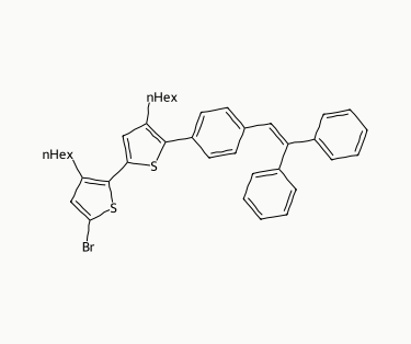 CCCCCCc1cc(-c2sc(Br)cc2CCCCCC)sc1-c1ccc(C=C(c2ccccc2)c2ccccc2)cc1